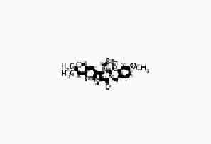 COc1ccc(CN2CN(CBr)c3c(sc4nc5c(cc34)COC(C)(C)C5)C2=O)c(OC)c1